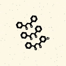 O=C(CC(=O)c1ccccc1)c1ccccc1.O=C(CC(=O)c1ccccc1)c1ccccc1.O=C(CC(=O)c1ccccc1)c1ccccc1.[Cr]